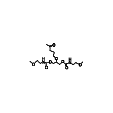 COCCNC(=O)OCC(COC(=O)NCCOC)OCCCC(C)=O